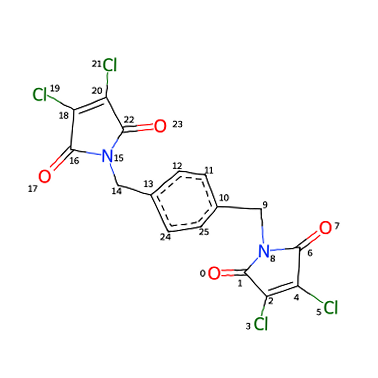 O=C1C(Cl)=C(Cl)C(=O)N1Cc1ccc(CN2C(=O)C(Cl)=C(Cl)C2=O)cc1